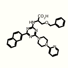 O=C(O)C(COCc1ccccc1)Nc1nc(-c2ccc3ccccc3c2)nc(N2CCN(c3ccccn3)CC2)n1